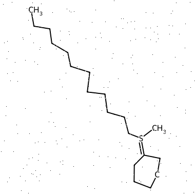 CCCCCCCCCCCCS(C)=C1CCCCC1